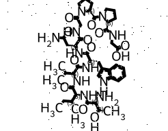 CC[C@H](C)[C@H](NC(=O)[C@@H](N)[C@@H](C)O)C(=O)N[C@H](C(=O)N[C@@H](Cc1c[nH]c2ccccc12)C(=O)N[C@@H](CC(N)=O)C(=O)NCC(=O)N1CCC[C@H]1C(=O)N1CCC[C@H]1C(=O)NCC(=O)O)C(C)C